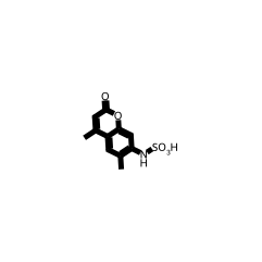 Cc1cc2c(C)cc(=O)oc2cc1NS(=O)(=O)O